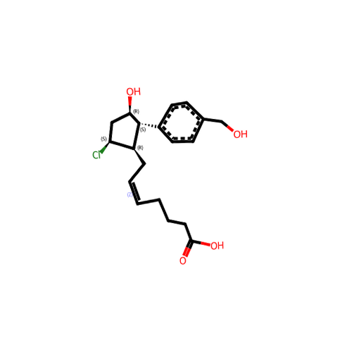 O=C(O)CCC/C=C\C[C@@H]1[C@@H](c2ccc(CO)cc2)[C@H](O)C[C@@H]1Cl